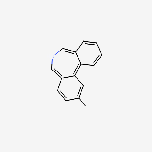 CCc1ccc2c(c1)=c1ccccc1=CNC=2